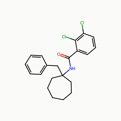 O=C(NC1(Cc2ccccc2)CCCCCC1)c1cccc(Cl)c1Cl